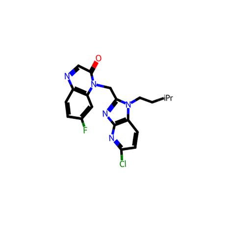 CC(C)CCn1c(Cn2c(=O)cnc3ccc(F)cc32)nc2nc(Cl)ccc21